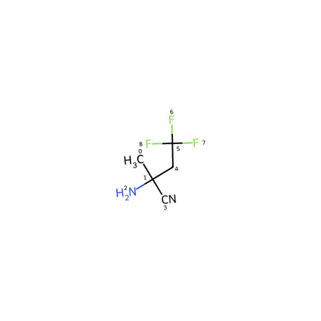 CC(N)(C#N)CC(F)(F)F